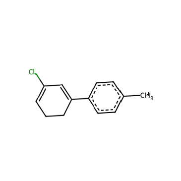 Cc1ccc(C2=CC(Cl)=CCC2)cc1